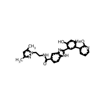 COc1ncccc1-c1ccc(O)c(-c2nc3cc(C(=O)NCCn4nc(C)cc4C)ccc3[nH]2)c1